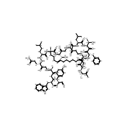 CC(=O)N[C@@H](CC(C)C)C(=O)N[C@H](C(=O)C(=O)[C@H](Cc1ccccc1)NN[C@](C)(CCCCCC/C=C/CCC[C@](C)(NC(=O)[C@H](CCC(C)C)NN[C@@H](CCC(N)=O)C(=O)CN[C@@H](C)C(=O)CC(=O)[C@H](Cc1c[nH]c2ccccc12)/N=N\[C@H](C=O)CC1=CC=C(O)CC1)C(=O)N[C@@H](CO)C(=O)CN[C@@H](C)C(=O)CCN[C@@H](C)C(=O)CN)C(=O)CN[C@@H](C)C(C)=O)[C@@H](C)O